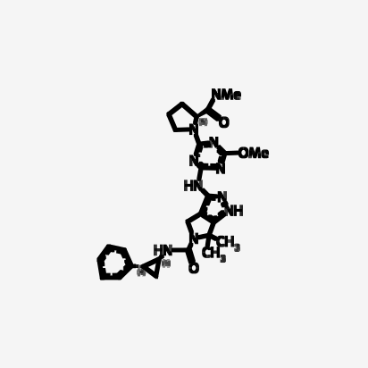 CNC(=O)[C@@H]1CCCN1c1nc(Nc2n[nH]c3c2CN(C(=O)N[C@H]2C[C@@H]2c2ccccc2)C3(C)C)nc(OC)n1